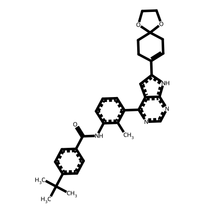 Cc1c(NC(=O)c2ccc(C(C)(C)C)cc2)cccc1-c1ncnc2[nH]c(C3=CCC4(CC3)OCCO4)cc12